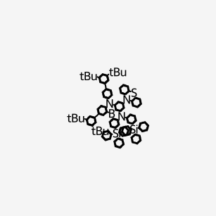 CC(C)(C)c1cc(-c2ccc(N3c4ccc(-c5cc(C(C)(C)C)cc(C(C)(C)C)c5)cc4B4c5ccc([Si](c6ccccc6)(c6ccccc6)c6ccccc6)cc5N(c5cccc([Si](c6ccccc6)(c6ccccc6)c6ccccc6)c5)c5cc(N6c7ccccc7Sc7ccccc76)cc3c54)cc2)cc(C(C)(C)C)c1